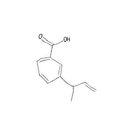 C=C[C](C)c1cccc(C(=O)O)c1